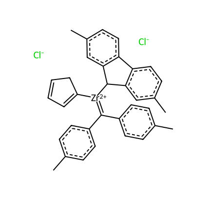 Cc1ccc([C](c2ccc(C)cc2)=[Zr+2]([C]2=CC=CC2)[CH]2c3cc(C)ccc3-c3ccc(C)cc32)cc1.[Cl-].[Cl-]